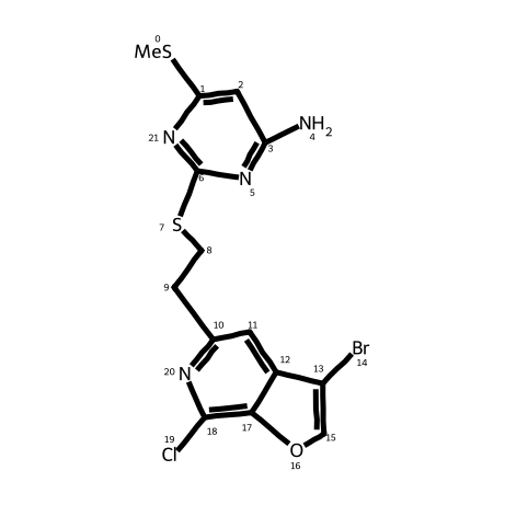 CSc1cc(N)nc(SCCc2cc3c(Br)coc3c(Cl)n2)n1